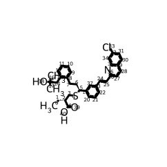 CC[C@H](CS[C@@H](CCc1ccccc1CC(C)(C)O)c1cccc(C=Cc2ccc3ccc(Cl)cc3n2)c1)C(=O)O